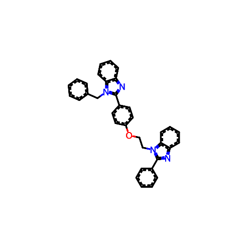 c1ccc(Cn2c(-c3ccc(OCCn4c(-c5ccccc5)nc5ccccc54)cc3)nc3ccccc32)cc1